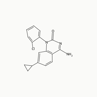 Nc1nc(=O)n(-c2ccccc2Cl)c2cc(C3CC3)ccc12